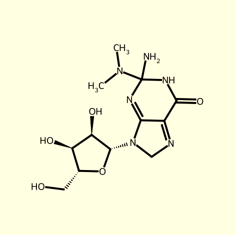 CN(C)C1(N)N=C2C(=NCN2[C@@H]2O[C@H](CO)[C@@H](O)[C@H]2O)C(=O)N1